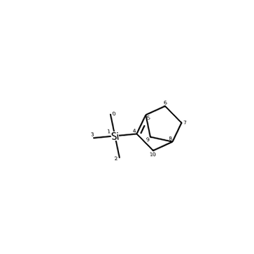 C[Si](C)(C)C1=C2CCC(C2)C1